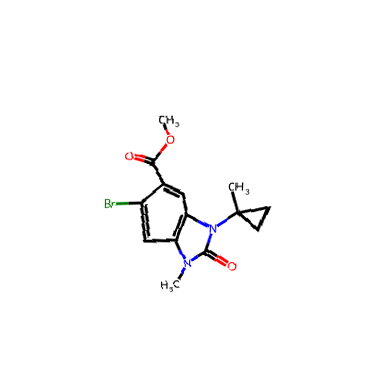 COC(=O)c1cc2c(cc1Br)n(C)c(=O)n2C1(C)CC1